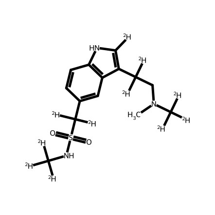 [2H]c1[nH]c2ccc(C([2H])([2H])S(=O)(=O)NC([2H])([2H])[2H])cc2c1C([2H])([2H])CN(C)C([2H])([2H])[2H]